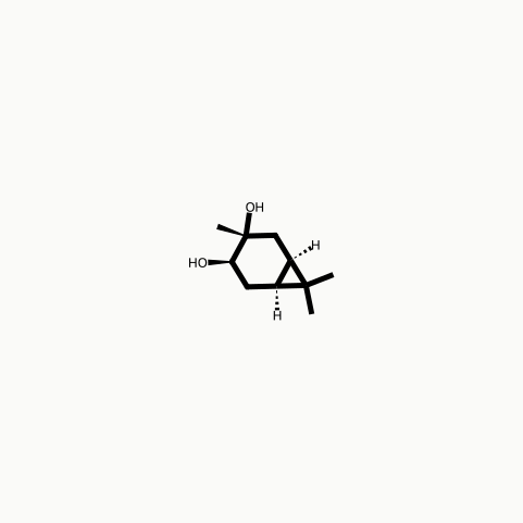 CC1(C)[C@@H]2C[C@@](C)(O)[C@H](O)C[C@@H]21